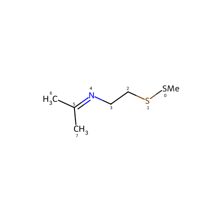 CSSCCN=C(C)C